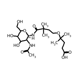 CC(=O)NC1C(O)C(O)C(CO)O[C@H]1NC(=O)C(C)(C)CCOC(C)(C)CCC(=O)O